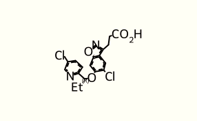 CC[C@@H](Oc1cc2onc(CCC(=O)O)c2cc1Cl)c1ccc(Cl)cn1